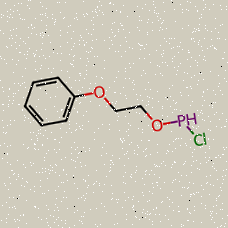 ClPOCCOc1ccccc1